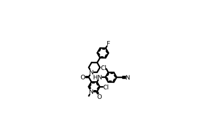 Cn1cc(C(=O)N2CCC(c3ccc(F)cc3)CC2)c(Nc2ccc(C#N)cc2Cl)c(Cl)c1=O